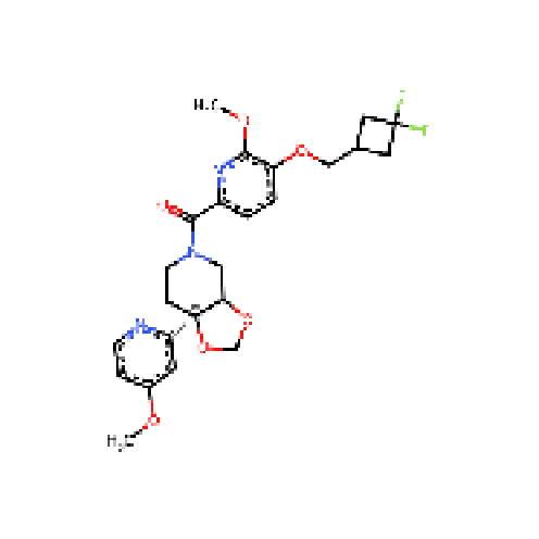 COc1ccnc([C@]23CCN(C(=O)c4ccc(OCC5CC(F)(F)C5)c(OC)n4)CC2OCO3)c1